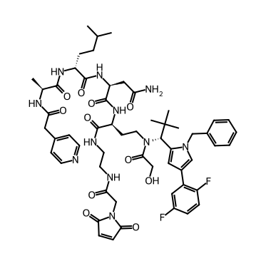 CC(C)CC[C@@H](NC(=O)[C@H](C)NC(=O)Cc1ccncc1)C(=O)N[C@@H](CC(N)=O)C(=O)N[C@@H](CCN(C(=O)CO)[C@@H](c1cc(-c2cc(F)ccc2F)cn1Cc1ccccc1)C(C)(C)C)C(=O)NCCNC(=O)CN1C(=O)C=CC1=O